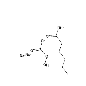 CCCCCC([NH-])=O.O=C([O-])OO.[Na+].[Na+]